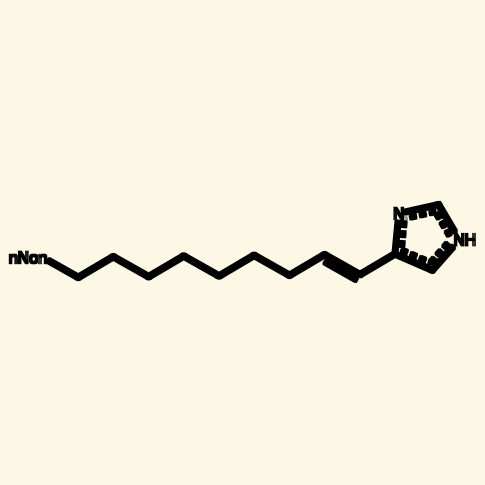 CCCCCCCCCCCCCCCCC=Cc1c[nH]cn1